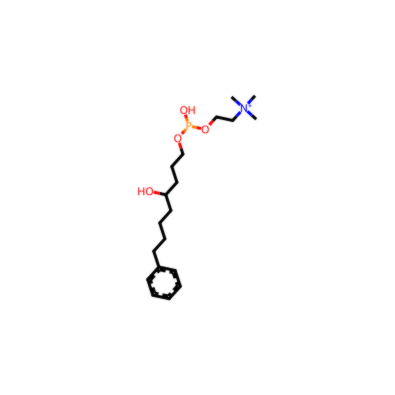 C[N+](C)(C)CCOP(O)OCCCC(O)CCCCc1ccccc1